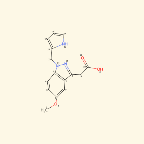 COc1ccc2c(c1)c(CC(=O)O)nn2Cc1ccc[nH]1